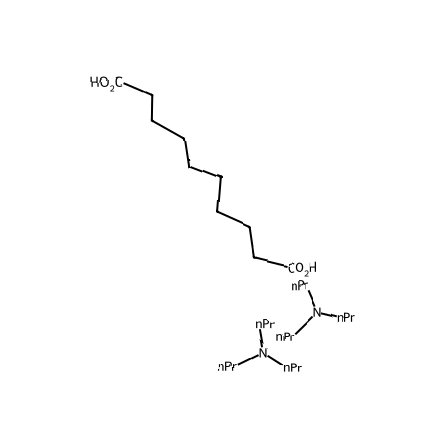 CCCN(CCC)CCC.CCCN(CCC)CCC.O=C(O)CCCCCCCCC(=O)O